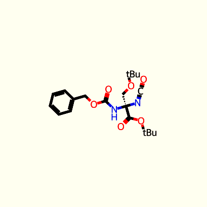 CC(C)(C)OC[C@@](N=C=O)(NC(=O)OCc1ccccc1)C(=O)OC(C)(C)C